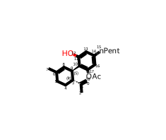 C=C(C)[C@@H]1CCC(C)=C[C@H]1c1c(O)cc(CCCCC)cc1OC(C)=O